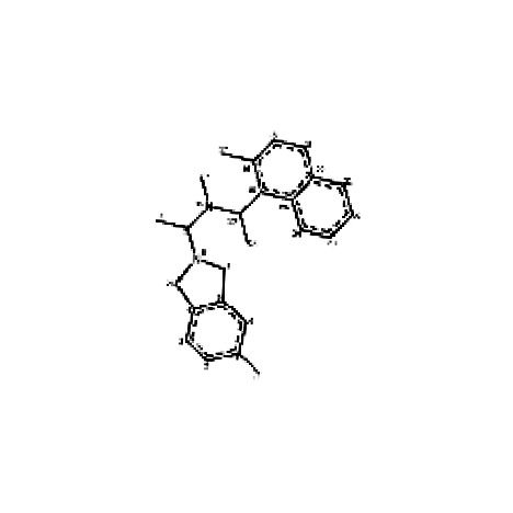 Cc1ccc2c(c1)CN(C(C)N(C)C(C)c1c(C)ccc3ccccc13)C2